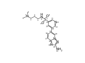 CN(C)CCCNS(=O)(=O)c1cncc(-c2ccc3nc(N)nn3c2)c1